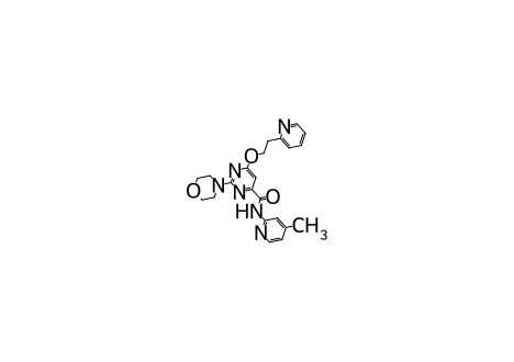 Cc1ccnc(NC(=O)c2cc(OCCc3ccccn3)nc(N3CCOCC3)n2)c1